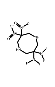 O=[N+]([O-])C1([N+](=O)[O-])CNCC(N(F)F)(N(F)F)CNC1